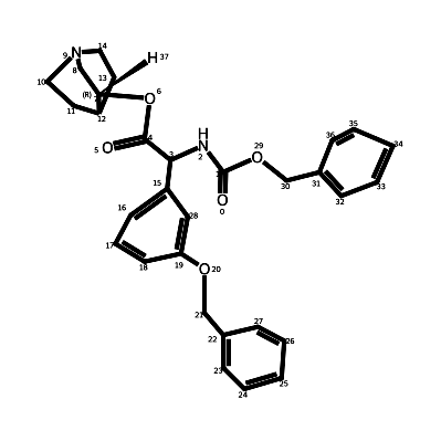 O=C(NC(C(=O)O[C@H]1CN2CCC1CC2)c1cccc(OCc2ccccc2)c1)OCc1ccccc1